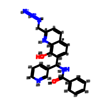 [N-]=[N+]=NCc1ccc2ccc(C(NC(=O)c3ccccc3)c3cccnc3)c(O)c2n1